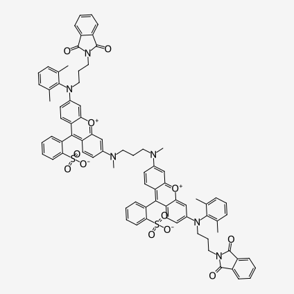 Cc1cccc(C)c1N(CCCN1C(=O)c2ccccc2C1=O)c1ccc2c(-c3ccccc3S(=O)(=O)[O-])c3ccc(N(C)CCCN(C)c4ccc5c(-c6ccccc6S(=O)(=O)[O-])c6ccc(N(CCCN7C(=O)c8ccccc8C7=O)c7c(C)cccc7C)cc6[o+]c5c4)cc3[o+]c2c1